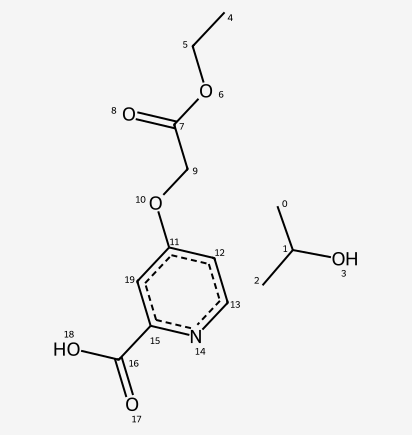 CC(C)O.CCOC(=O)COc1ccnc(C(=O)O)c1